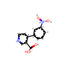 O=C(O)c1cnccc1-c1cccc([N+](=O)[O-])c1